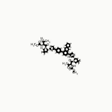 COC(=O)N[C@H](C(=O)N1CC(F)(F)C[C@H]1C1=NCC(c2ccc(-c3ccc(-c4cnc([C@@H]5CC(F)(F)CN5C(=O)[C@@H](NC(=O)OC)C(C)C)[nH]4)c4c3CC3(CCCC3)C4)cc2)=N1)C(C)C